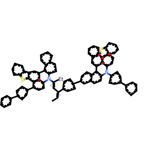 C/C=C(\C=C(/CC)N(c1ccc(-c2ccc(-c3ccccc3)cc2)cc1)c1ccc2ccccc2c1-c1ccc2sc3ccccc3c2c1)c1ccc(-c2ccc3c(-c4ccc5sc6ccccc6c5c4)c(N(c4ccc(-c5ccccc5)cc4)c4cccc(-c5ccccc5)c4)ccc3c2)cc1